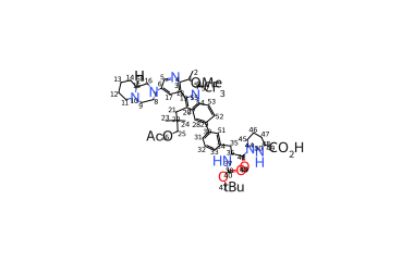 COC(C)c1ncc(N2CCN3CCCC[C@@H]3C2)cc1-c1c(CC(C)(C)COC(C)=O)c2cc(-c3cccc(CC(NC(=O)OC(C)(C)C)C(=O)N4CCC[C@@H](C(=O)O)N4)c3)ccc2n1CC(F)(F)F